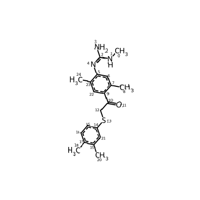 CNC(N)=Nc1cc(C)c(C(=O)CSc2ccc(C)c(C)c2)cc1C